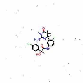 CN1C(=O)C(C)(C)C(C)(c2cc(NC(=O)C(C)(O)c3ccc(Cl)cc3)ccc2F)N=C1N